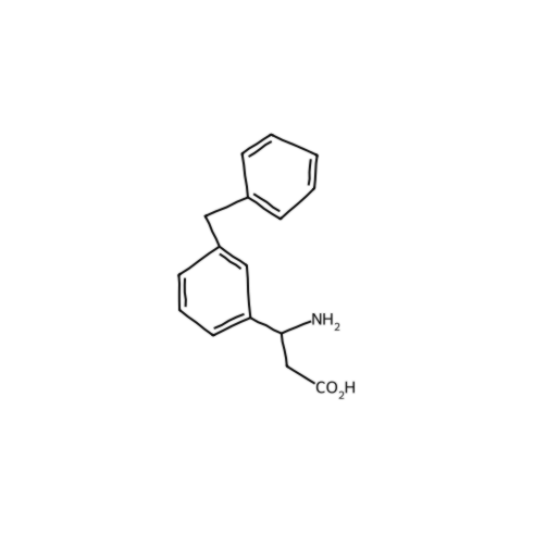 NC(CC(=O)O)c1cccc(Cc2ccccc2)c1